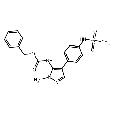 Cn1ncc(-c2ccc(NS(C)(=O)=O)cc2)c1NC(=O)OCc1ccccc1